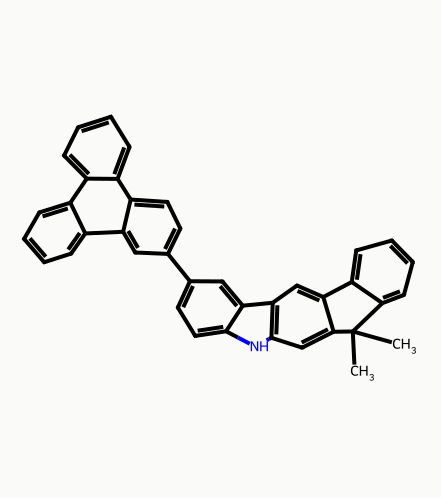 CC1(C)c2ccccc2-c2cc3c(cc21)[nH]c1ccc(-c2ccc4c5ccccc5c5ccccc5c4c2)cc13